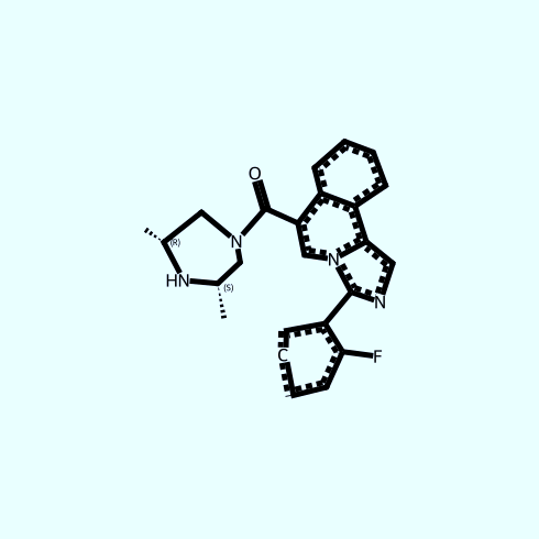 C[C@@H]1CN(C(=O)c2cn3c(-c4ccccc4F)ncc3c3ccccc23)C[C@H](C)N1